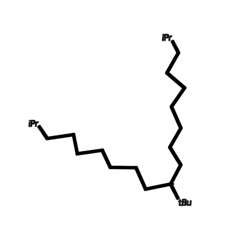 [CH2]C([CH2])([CH2])[C](CCCCCCCC(C)C)CCCCCCCC(C)C